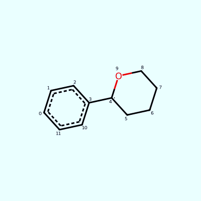 c1ccc([C]2CCCCO2)cc1